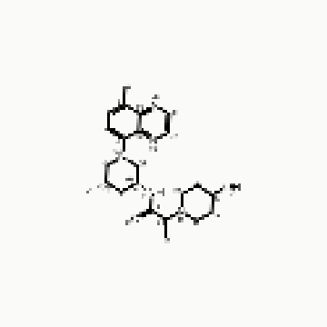 Cc1ccc(N2C[C@@H](C)C[C@@H](NC(=O)C(C)N3CCC(O)CC3)C2)c2nccnc12